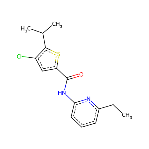 CCc1cccc(NC(=O)c2cc(Cl)c(C(C)C)s2)n1